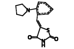 O=C1NC(=O)/C(=C/c2ccccc2N2CCCC2)S1